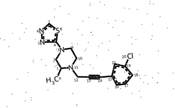 CC1CN(c2nncs2)CCN1CC#Cc1cccc(Cl)c1